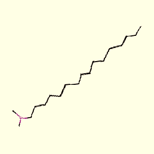 CCCCCCCCCCCCCCCCP(C)C